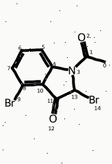 CC(=O)N1c2cccc(Br)c2C(=O)C1Br